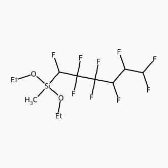 CCO[Si](C)(OCC)C(F)C(F)(F)C(F)(F)C(F)C(F)C(F)F